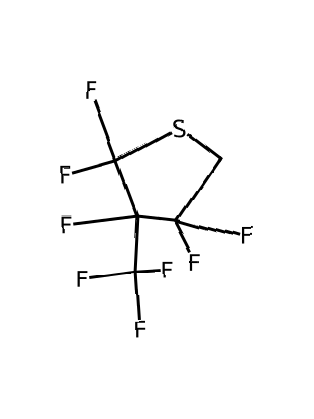 FC(F)(F)C1(F)C(F)(F)CSC1(F)F